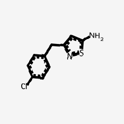 Nc1cc(Cc2ccc(Cl)cc2)ns1